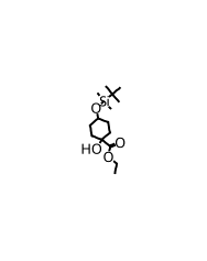 CCOC(=O)C1(O)CCC(O[Si](C)(C)C(C)(C)C)CC1